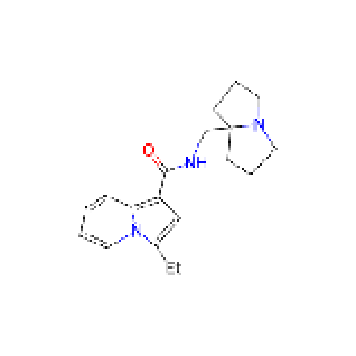 CCc1cc(C(=O)NCC23CCCN2CCC3)c2ccccn12